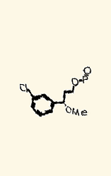 CO[C@@H](CCOP=O)c1cccc(Cl)c1